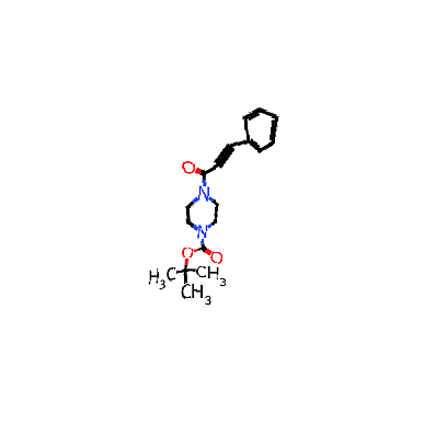 CC(C)(C)OC(=O)N1CCN(C(=O)C#Cc2ccccc2)CC1